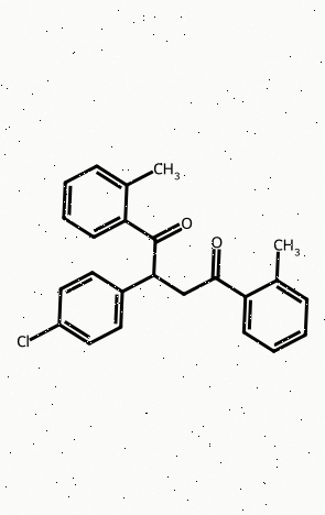 Cc1ccccc1C(=O)CC(C(=O)c1ccccc1C)c1ccc(Cl)cc1